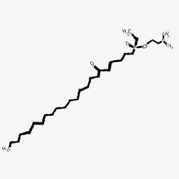 CCCCCCCCCCCCCCCCCC(=O)CCCCCP(=O)(CC)OCCN(C)C